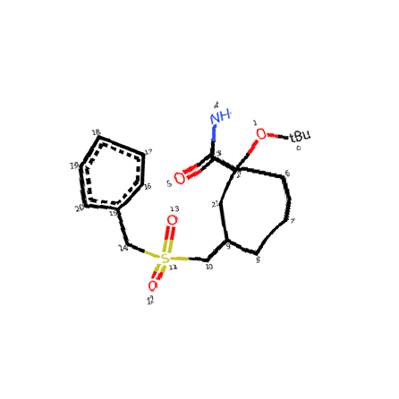 CC(C)(C)OC1(C([NH])=O)CCCC(CS(=O)(=O)Cc2ccccc2)C1